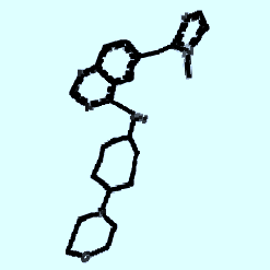 Cn1ccnc1-c1ccc2ncnc(NC3CCC(N4CCOCC4)CC3)c2c1